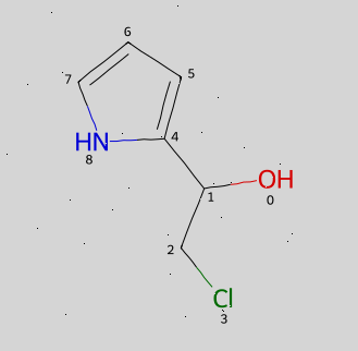 OC(CCl)c1ccc[nH]1